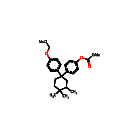 COCOc1ccc(C2(c3ccc(OC(=O)OC)cc3)CCC(C)(C)C(C)C2)cc1